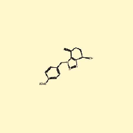 C=C1CCC(O)c2nnn(Cc3ccc(OC)cc3)c21